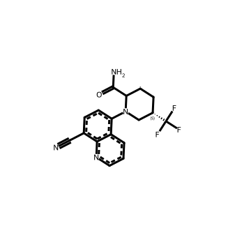 N#Cc1ccc(N2C[C@@H](C(F)(F)F)C[CH]C2C(N)=O)c2cccnc12